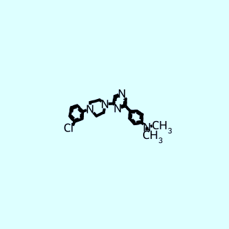 CN(C)c1ccc(-c2cncc(N3CCN(c4cccc(Cl)c4)CC3)n2)cc1